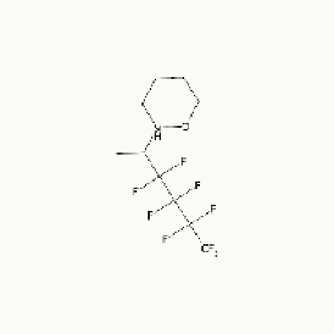 CC([SiH]1CCCCO1)C(F)(F)C(F)(F)C(F)(F)C(F)(F)F